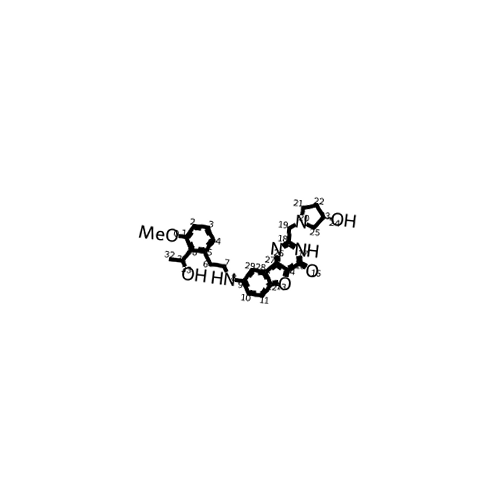 COc1cccc(CCNc2ccc3oc4c(=O)[nH]c(CN5CC[C@H](O)C5)nc4c3c2)c1C(C)O